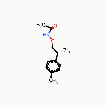 CC(=O)NOC[C@H](C)c1ccc(C)cc1